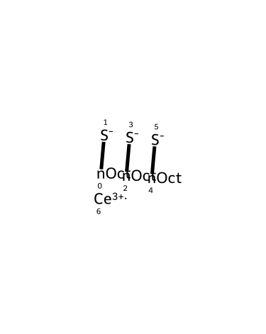 CCCCCCCC[S-].CCCCCCCC[S-].CCCCCCCC[S-].[Ce+3]